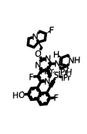 CC(C)[Si](C#Cc1c(F)ccc2cc(O)cc(-c3ncc4c(N5C[C@@H]6C[C@H]5CN6)nc(OC[C@@]56CCCN5C[C@H](F)C6)nc4c3F)c12)(C(C)C)C(C)C